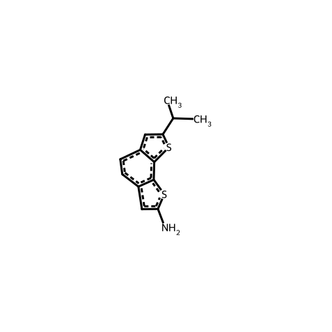 CC(C)c1cc2ccc3cc(N)sc3c2s1